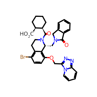 O=C(O)[C@H]1CCCC[C@H]1C(=O)N1CCc2c(Br)ccc(OCc3nnc4ccccn34)c2[C@H]1CN1Cc2ccccc2C1=O